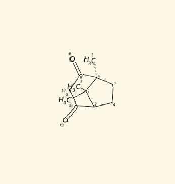 CC1(C)C2CC[C@]1(C)C(=O)CC2=O